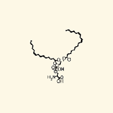 CCCCC/C=C\C/C=C\CCCCCCCC(=O)OC[C@H](COP(=O)(O)OC[C@H](N)C(=O)O)OC(=O)CCCCCCC/C=C\CCCCC